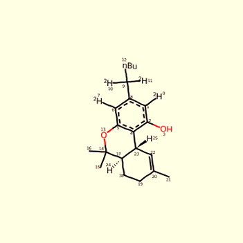 [2H]c1c(O)c2c(c([2H])c1C([2H])([2H])CCCC)OC(C)(C)[C@@H]1CCC(C)=C[C@@H]21